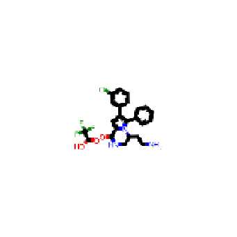 NCCC1CNC(=O)c2cc(-c3cccc(Cl)c3)c(-c3ccccc3)n21.O=C(O)C(F)(F)F